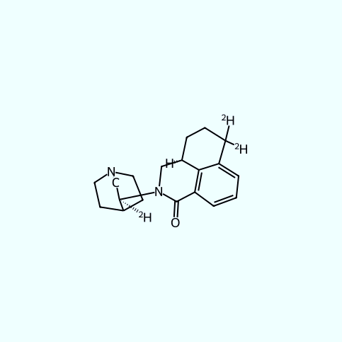 [2H]C1([2H])CC[C@@H]2CN([C@]3([2H])CN4CCC3CC4)C(=O)c3cccc1c32